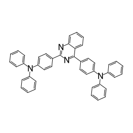 c1ccc(N(c2ccccc2)c2ccc(-c3nc(-c4ccc(N(c5ccccc5)c5ccccc5)cc4)c4ccccc4n3)cc2)cc1